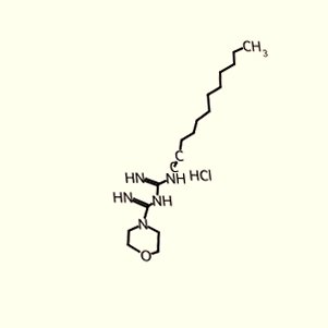 CCCCCCCCCCCCNC(=N)NC(=N)N1CCOCC1.Cl